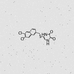 O=c1[nH]cc(SCc2ccc3cc(Cl)c(Cl)cc3c2)[nH]c1=O